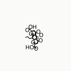 CCCc1c2oc(C(=O)O)cc(=O)c2cc2c(=O)cc(C(=O)O)oc12.O